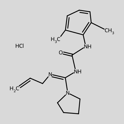 C=CCN=C(NC(=O)Nc1c(C)cccc1C)N1CCCC1.Cl